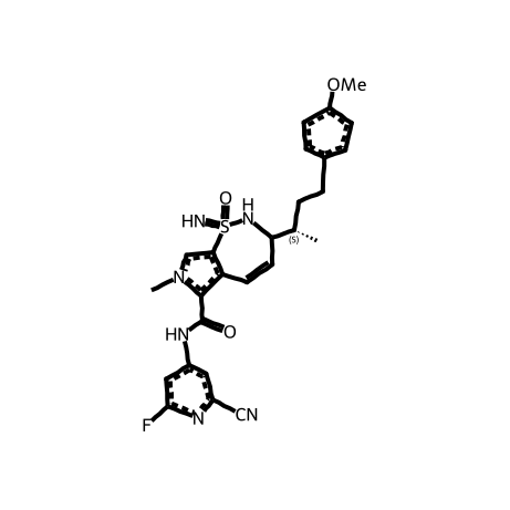 COc1ccc(CC[C@H](C)C2C=Cc3c(cn(C)c3C(=O)Nc3cc(F)nc(C#N)c3)S(=N)(=O)N2)cc1